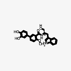 COc1ccc(-c2ccc(O)c(O)c2)cc1C(=O)N[C@@H](CO)Cc1c[nH]c2ccccc12